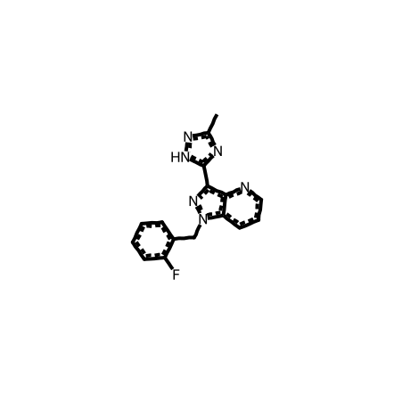 Cc1n[nH]c(-c2nn(Cc3ccccc3F)c3cccnc23)n1